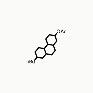 CCCCC1CCC2C(CCC3CC(OC(C)=O)CCC32)C1